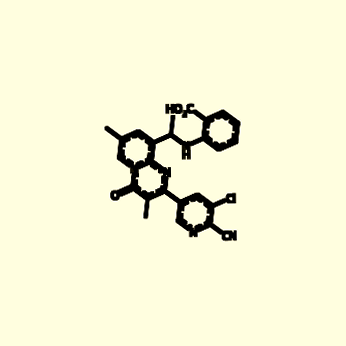 Cc1cc(C(C)Nc2ccccc2C(=O)O)c2nc(-c3cnc(C#N)c(Cl)c3)c(C)c(=O)n2c1